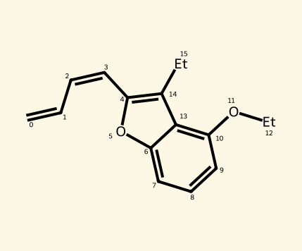 C=C/C=C\c1oc2cccc(OCC)c2c1CC